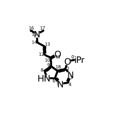 CC(C)Oc1ncnc2[nH]cc(C(=O)C=CCN(C)C)c12